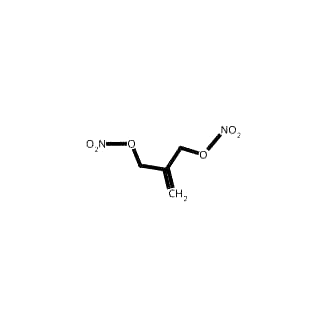 C=C(CO[N+](=O)[O-])CO[N+](=O)[O-]